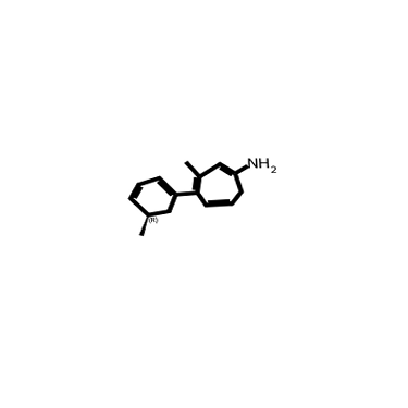 CC1=C(C2=CC=C[C@H](C)C2)C=CCC(N)=C1